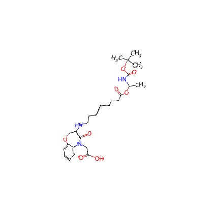 CC(NC(=O)OC(C)(C)C)OC(=O)CCCCCCCNC1COc2ccccc2N(CC(=O)O)C1=O